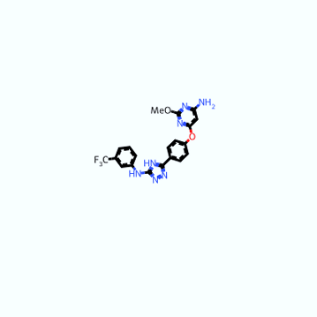 COc1nc(N)cc(Oc2ccc(-c3nnc(Nc4cccc(C(F)(F)F)c4)[nH]3)cc2)n1